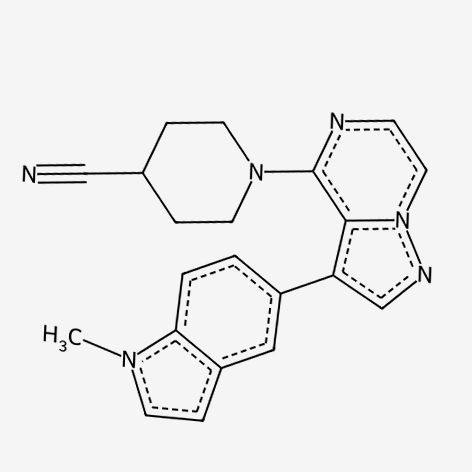 Cn1ccc2cc(-c3cnn4ccnc(N5CCC(C#N)CC5)c34)ccc21